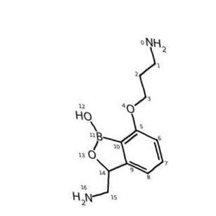 NCCCOc1cccc2c1B(O)OC2CN